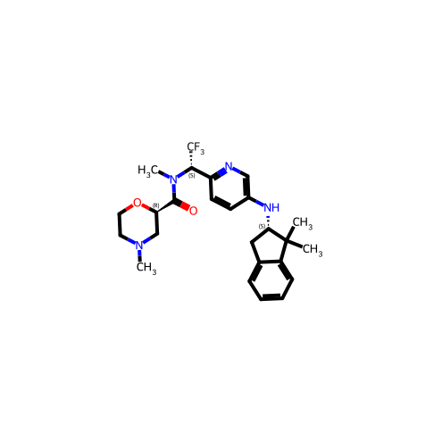 CN1CCO[C@@H](C(=O)N(C)[C@@H](c2ccc(N[C@H]3Cc4ccccc4C3(C)C)cn2)C(F)(F)F)C1